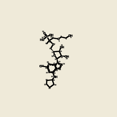 CC(COCCO)(OC[C@H]1O[C@H](n2ncc3c(NC4CCCC4)nc(Cl)nc32)[C@H](O)[C@@H]1O)P(=O)(O)O